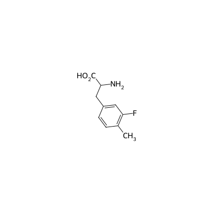 Cc1ccc(CC(N)C(=O)O)cc1F